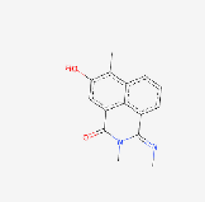 C/N=C1/c2cccc3c(C)c(O)cc(c23)C(=O)N1C